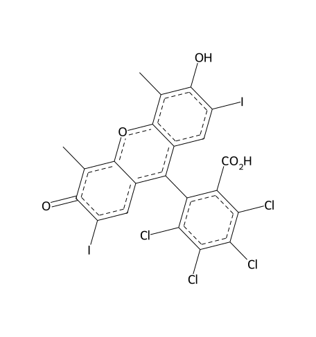 Cc1c2oc3c(C)c(O)c(I)cc3c(-c3c(Cl)c(Cl)c(Cl)c(Cl)c3C(=O)O)c-2cc(I)c1=O